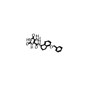 Nc1c(C(=O)N[C@H]2CCCc3c(OCc4ccccc4)cccc32)[nH]c(=O)[nH]c1=O